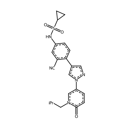 CC(C)Cn1cc(-n2cc(-c3ccc(NS(=O)(=O)C4CC4)cc3C#N)cn2)ccc1=O